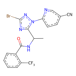 CC(NC(=O)c1ccccc1C(F)(F)F)c1nc(Br)nn1-c1ccc(C#N)cn1